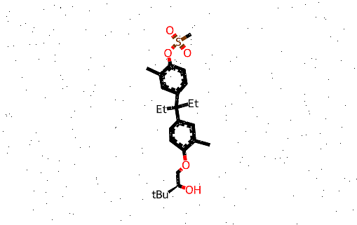 CCC(CC)(c1ccc(OC[C@@H](O)C(C)(C)C)c(C)c1)c1ccc(OS(C)(=O)=O)c(C)c1